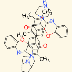 Cc1cc(N2CCNCC2)ccc1-c1c2oc3ccccc3nc-2c(N2C3CCC2CN(c2ccc(-c4c5oc6ccccc6nc-5c(C)c(C)c4=O)cc2)C3)c(C)c1=O